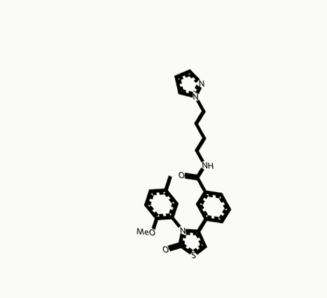 COc1ccc(C)cc1-n1c(-c2cccc(C(=O)NCCCCn3cccn3)c2)csc1=O